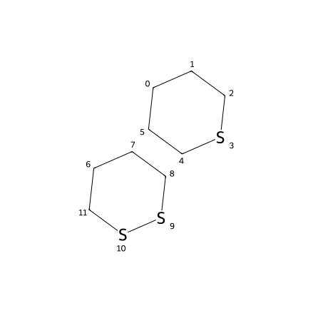 C1CCSCC1.C1CCSSC1